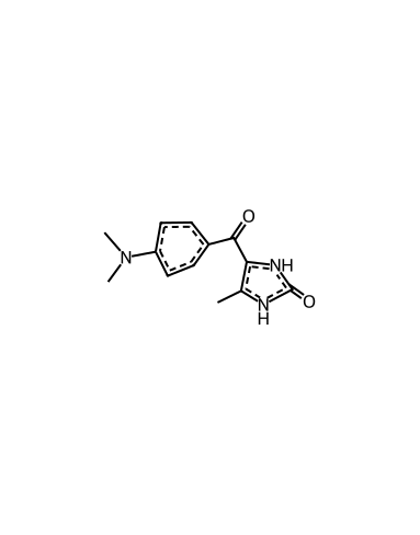 Cc1[nH]c(=O)[nH]c1C(=O)c1ccc(N(C)C)cc1